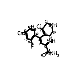 CC1=C(/C(=C\C(=N)C(N)=O)c2ccc(Cl)cc2F)CCNC1